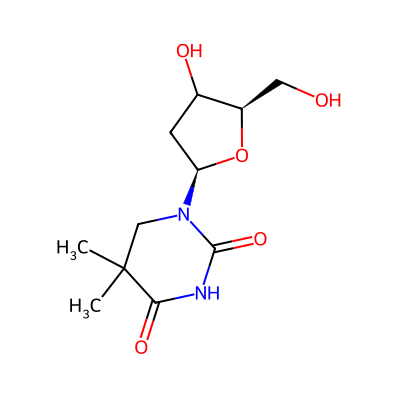 CC1(C)CN([C@H]2CC(O)[C@@H](CO)O2)C(=O)NC1=O